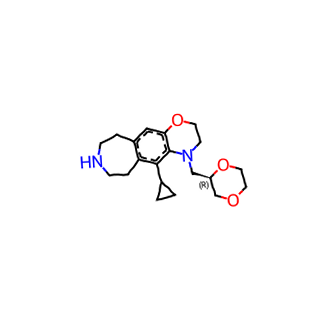 c1c2c(c(C3CC3)c3c1OCCN3C[C@@H]1COCCO1)CCNCC2